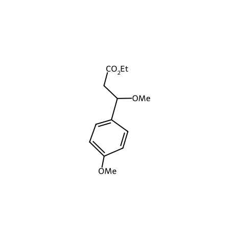 CCOC(=O)CC(OC)c1ccc(OC)cc1